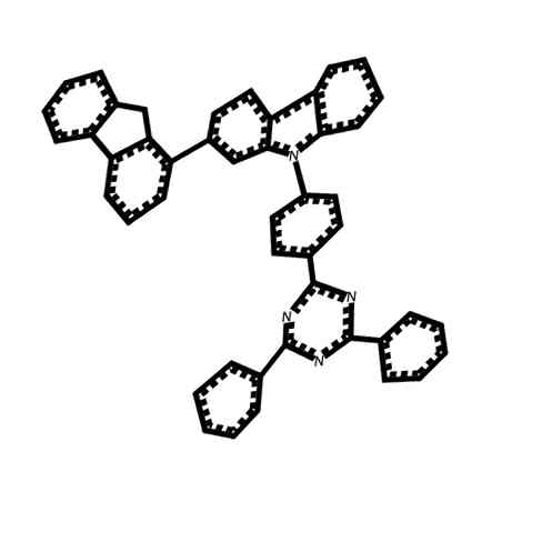 c1ccc(-c2nc(-c3ccccc3)nc(-c3ccc(-n4c5ccccc5c5ccc(-c6cccc7c6Cc6ccccc6-7)cc54)cc3)n2)cc1